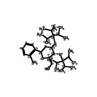 CC(C)[Si](O[C@@H]1[C@@H](CO)OC(c2ccncc2N)C[C@H]1O[Si](C(C)C)(C(C)C)C(C)C)(C(C)C)C(C)C